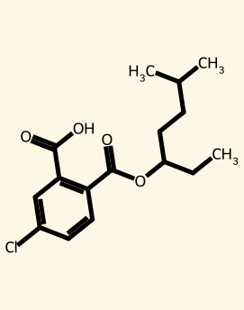 CCC(CCC(C)C)OC(=O)c1ccc(Cl)cc1C(=O)O